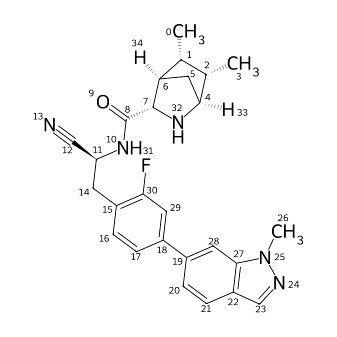 C[C@@H]1[C@H](C)[C@@H]2C[C@H]1[C@@H](C(=O)N[C@H](C#N)Cc1ccc(-c3ccc4cnn(C)c4c3)cc1F)N2